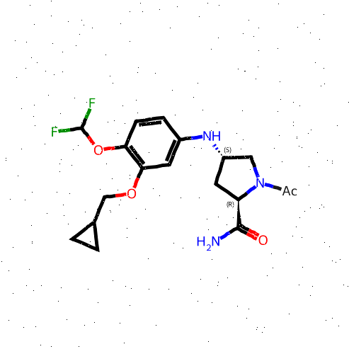 CC(=O)N1C[C@@H](Nc2ccc(OC(F)F)c(OCC3CC3)c2)C[C@@H]1C(N)=O